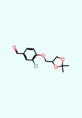 CC1(C)OCC(COc2ccc(C=O)cc2Cl)O1